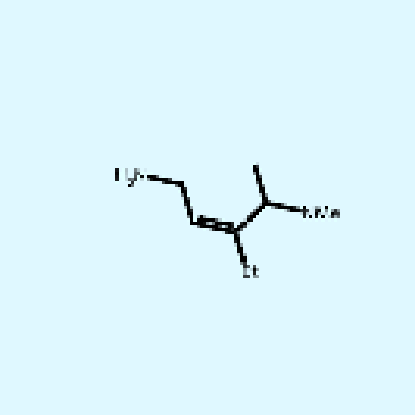 CC/C(=C/CN)C(C)NC